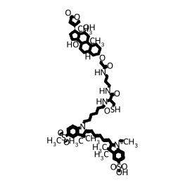 CC[N+]1=C(/C=C/C=C/C=C2/N(CCCCCC(=O)NC(CS)C(=O)NCCCNC(=O)CO[C@H]3CC[C@]4(C)C5C[C@@H](O)[C@]6(C)[C@@H](C7=CC(=O)OC7)CC[C@]6(O)C5CC[C@@H]4C3)c3ccc(S(C)(=O)=O)cc3C2(C)C)C(C)(C)c2cc(S(=O)(=O)O)ccc21